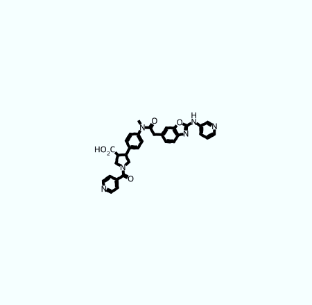 CN(C(=O)Cc1ccc2nc(Nc3cccnc3)oc2c1)c1ccc(C2CN(C(=O)c3ccncc3)CC2C(=O)O)cc1